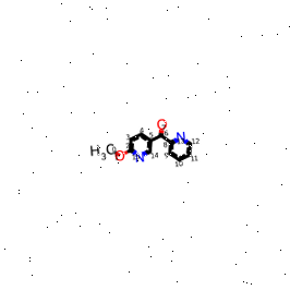 COc1ccc(C(=O)c2ccccn2)cn1